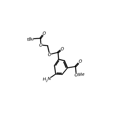 COC(=O)c1cc(N)cc(C(=O)OCOC(=O)C(C)(C)C)c1